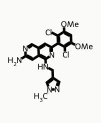 COc1cc(OC)c(Cl)c(-c2cc3cnc(N)cc3c(NCc3cnn(C)c3)n2)c1Cl